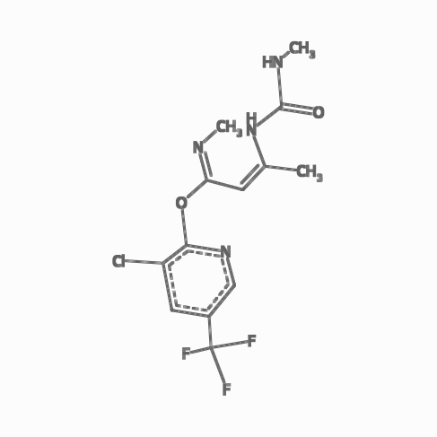 C/N=C(\C=C(\C)NC(=O)NC)Oc1ncc(C(F)(F)F)cc1Cl